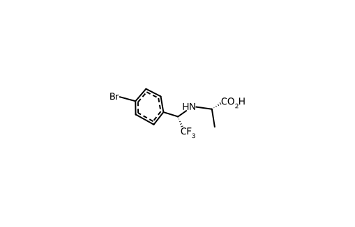 C[C@H](N[C@@H](c1ccc(Br)cc1)C(F)(F)F)C(=O)O